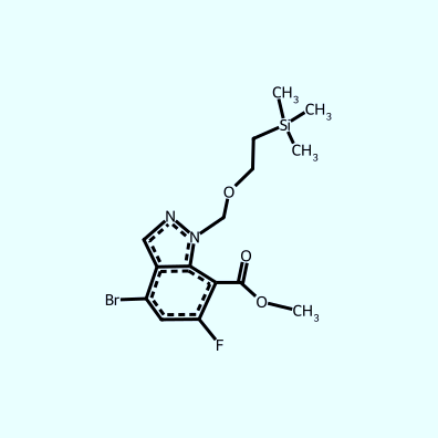 COC(=O)c1c(F)cc(Br)c2cnn(COCC[Si](C)(C)C)c12